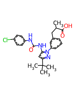 CC(Cc1cccc(-n2nc(C(C)(C)C)cc2NC(=O)Nc2ccc(Cl)cc2)c1)C(=O)O